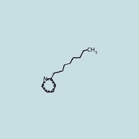 CCCCCCC[CH]c1ccccn1